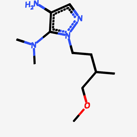 COCC(C)CCn1ncc(N)c1N(C)C